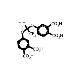 O=C(O)c1ccc(OC(Oc2ccc(C(=O)O)c(C(=O)O)c2)(C(F)(F)F)C(F)(F)F)cc1C(=O)O